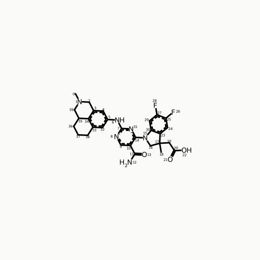 CN1Cc2cc(Nc3ncc(C(N)=O)c(N4CC(C)(CC(=O)O)c5cc(F)c(F)cc54)n3)cc3c2C(CCC3)C1